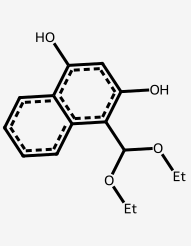 CCOC(OCC)c1c(O)cc(O)c2ccccc12